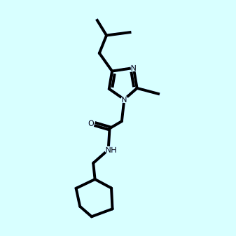 Cc1nc(CC(C)C)cn1CC(=O)NCC1CCCCC1